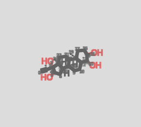 C#C[C@]1(O)[C@H](O)C[C@H]2[C@@H]3CCC4[C@@H](O)[C@H](O)CC[C@]4(C)[C@H]3CC[C@@]21C